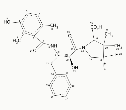 Cc1ccc(O)c(C)c1C(=O)N[C@@H](Cc1ccccc1)[C@H](O)C(=O)N1CC(F)(F)C(C)(C)C1C(=O)O